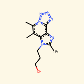 CCCc1nc2c(c(C)c(C)n3nnnc23)n1CCCO